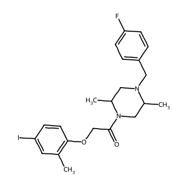 Cc1cc(I)ccc1OCC(=O)N1CC(C)N(Cc2ccc(F)cc2)CC1C